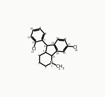 CN1CCCC2C(c3ccccc3Cl)c3ccc(Cl)cc3C21